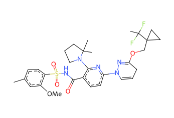 COc1cc(C)ccc1S(=O)(=O)NC(=O)c1ccc(N2C=CCC(OCC3(C(C)(F)F)CC3)=N2)nc1N1CCCC1(C)C